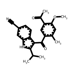 COc1cc(C)c(C(=O)c2c(C(C)C)[nH]c3cc(C#N)ccc23)cc1C(C)=O